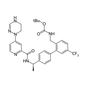 C[C@@H](NC(=O)c1cc(N2CCNC=N2)ccn1)c1ccc(-c2cc(C(F)(F)F)ccc2CNC(=O)OC(C)(C)C)cc1